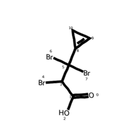 O=C(O)C(Br)C(Br)(Br)C1=CC1